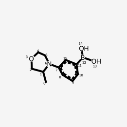 CC1COCCN1c1cccc(B(O)O)c1